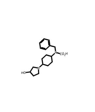 O=C(O)N(Cc1ccccc1)C1CCC(N2CCC(O)C2)CC1